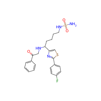 NS(=O)(=O)NCCCCC(NCC(=O)c1ccccc1)c1csc(-c2ccc(F)cc2)n1